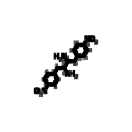 NC(=Cc1ccc([N+](=O)[O-])cc1)C(N)=Cc1ccc([N+](=O)[O-])cc1